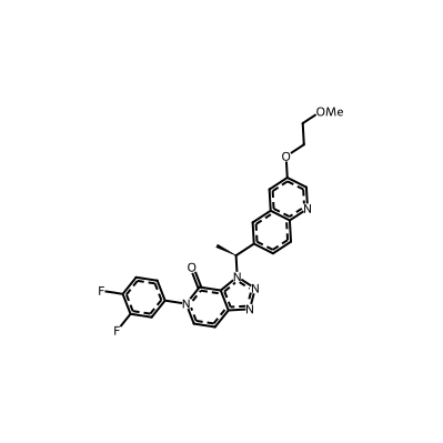 COCCOc1cnc2ccc([C@H](C)n3nnc4ccn(-c5ccc(F)c(F)c5)c(=O)c43)cc2c1